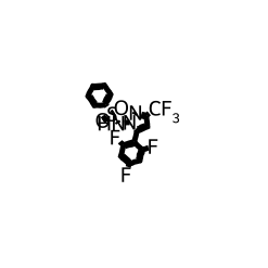 O=S(=O)(Nn1nc(C(F)(F)F)cc1-c1c(F)cc(F)cc1F)c1ccccc1